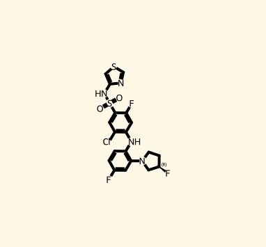 O=S(=O)(Nc1cscn1)c1cc(Cl)c(Nc2ccc(F)cc2N2CC[C@@H](F)C2)cc1F